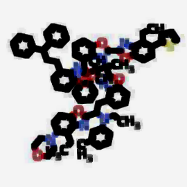 CCc1c(-c2cccs2)ccc2oc([C]3Oc4cccc(-c5nc6ccccc6o5)c4N3C(C)(c3nc4c(CC(c5nc6c(CC)c(N7CCOCC7)ccc6o5)N(CC)c5cccc(C)c5)cccc4o3)C(C)(C)c3nc4c(CCC(c5ccccc5)c5ccccc5)cccc4o3)nc12